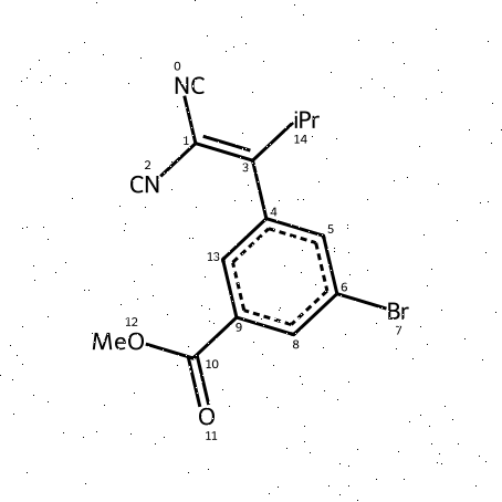 [C-]#[N+]C([N+]#[C-])=C(c1cc(Br)cc(C(=O)OC)c1)C(C)C